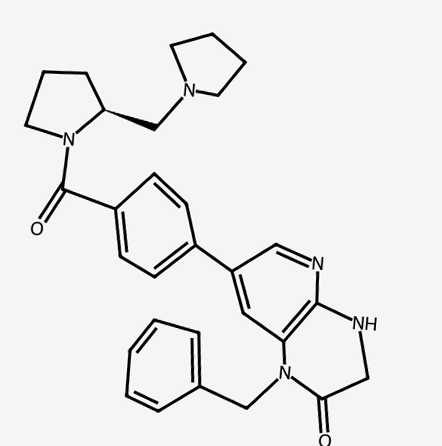 O=C1CNc2ncc(-c3ccc(C(=O)N4CCC[C@H]4CN4CCCC4)cc3)cc2N1Cc1ccccc1